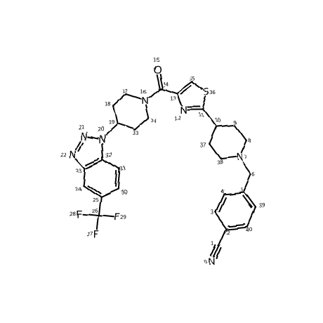 N#Cc1ccc(CN2CCC(c3nc(C(=O)N4CCC(n5nnc6cc(C(F)(F)F)ccc65)CC4)cs3)CC2)cc1